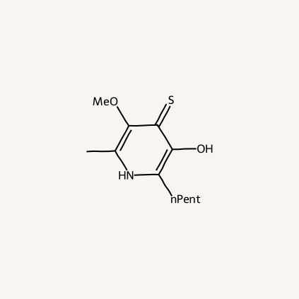 CCCCCc1[nH]c(C)c(OC)c(=S)c1O